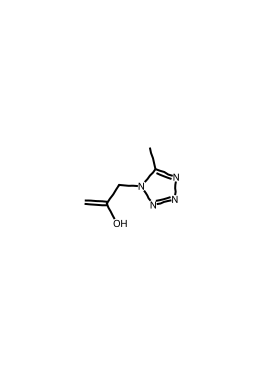 C=C(O)Cn1nnnc1C